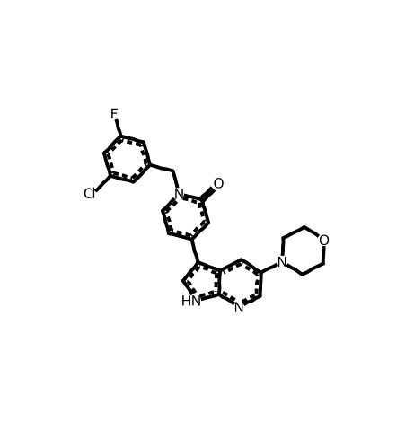 O=c1cc(-c2c[nH]c3ncc(N4CCOCC4)cc23)ccn1Cc1cc(F)cc(Cl)c1